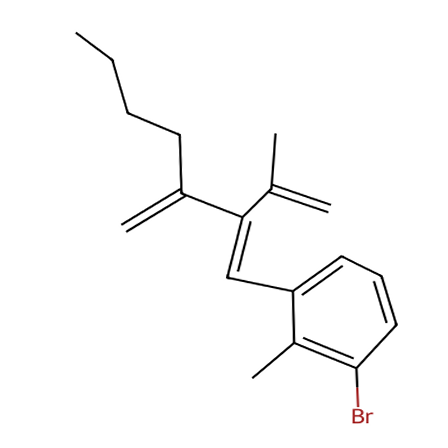 C=C(C)/C(=C\c1cccc(Br)c1C)C(=C)CCCC